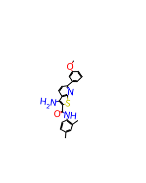 COc1cccc(-c2ccc3c(N)c(C(=O)Nc4ccc(C)cc4C)sc3n2)c1